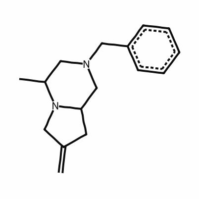 C=C1CC2CN(Cc3ccccc3)CC(C)N2C1